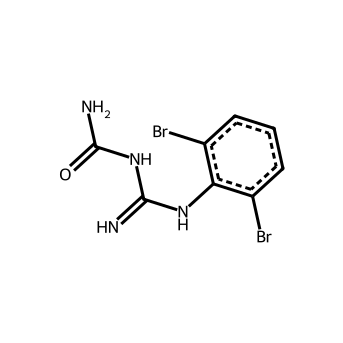 N=C(NC(N)=O)Nc1c(Br)cccc1Br